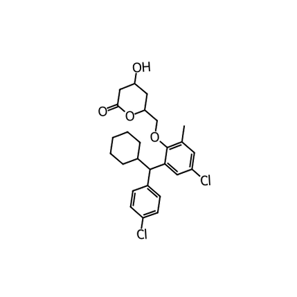 Cc1cc(Cl)cc(C(c2ccc(Cl)cc2)C2CCCCC2)c1OCC1CC(O)CC(=O)O1